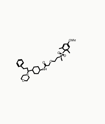 COc1cc(C)c(S(=O)(=O)N(C)CCOCC(=O)NC2CCC(C(CCc3ccccc3)N3CCOCC3)CC2)c(C)c1